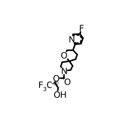 O=C(O[C@H](CO)C(F)(F)F)N1CCC2(CCC(c3ccc(F)cn3)CO2)CC1